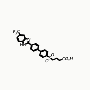 O=C(O)CCCS(=O)(=O)c1ccc(-c2ccc(-c3nc4cc(C(F)(F)F)ccc4[nH]3)cc2)cc1